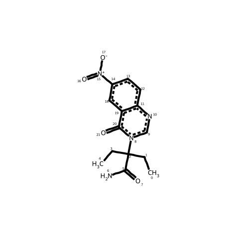 CCC(CC)(C(N)=O)n1cnc2ccc([N+](=O)[O-])cc2c1=O